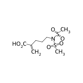 C=C(CCCN(S(C)(=O)=O)S(C)(=O)=O)C(=O)O